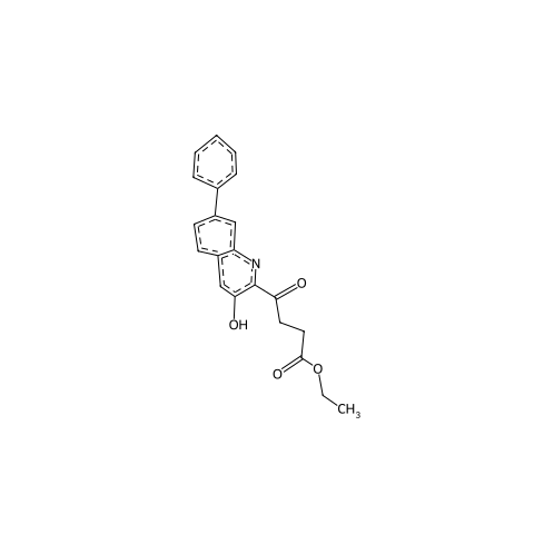 CCOC(=O)CCC(=O)c1nc2cc(-c3ccccc3)ccc2cc1O